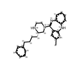 Cc1cc2c(s1)Nc1ccccc1N=C2N1CCN[C@@H](CCCCc2ccccc2)C1